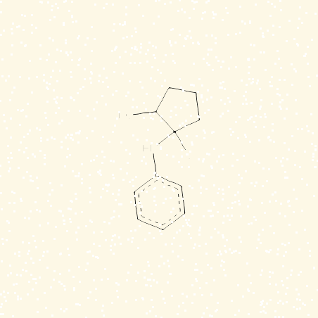 CC1CCCC1(C)Pc1ccccc1